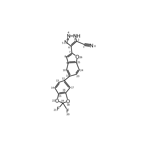 N#Cc1[nH]nnc1-c1cc2cc(-c3ccc4c(c3)OC(F)(F)O4)ccc2o1